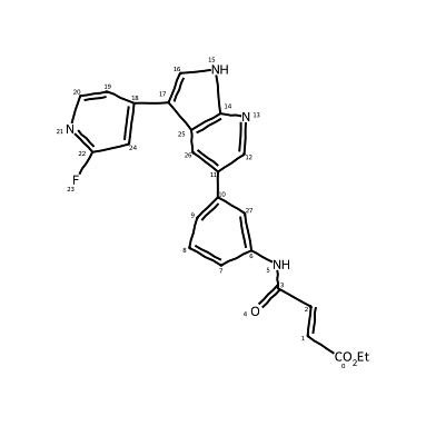 CCOC(=O)/C=C/C(=O)Nc1cccc(-c2cnc3[nH]cc(-c4ccnc(F)c4)c3c2)c1